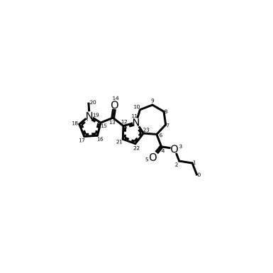 CCCOC(=O)C1CCCCn2c(C(=O)c3cccn3C)ccc21